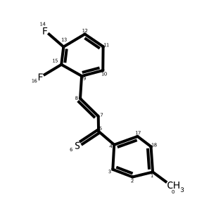 Cc1ccc(C(=S)C=Cc2cccc(F)c2F)cc1